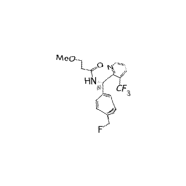 COCCC(=O)N[C@@H](c1ccc(CF)cc1)c1ncccc1C(F)(F)F